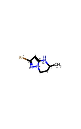 CC1CCn2nc(Br)cc2N1